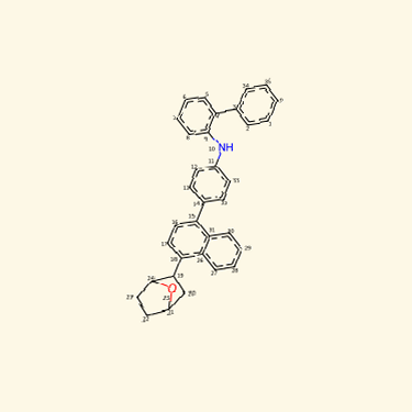 c1ccc(-c2ccccc2Nc2ccc(-c3ccc(C4CC5CCC4O5)c4ccccc34)cc2)cc1